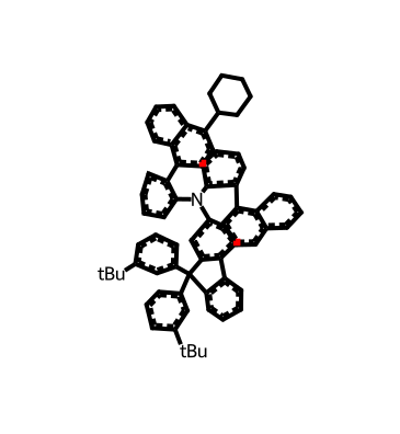 CC(C)(C)c1cccc(C2(c3cccc(C(C)(C)C)c3)c3ccccc3-c3ccc(N(c4ccccc4-c4cccc5ccccc45)c4ccccc4-c4ccc(C5CCCCC5)c5ccccc45)cc32)c1